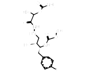 CC(C)(C)OC(=O)N[C@@H](Cc1ccc(I)cc1)[C@@H](O)CNNC(=O)C(OC(N)=O)C(C)(C)C